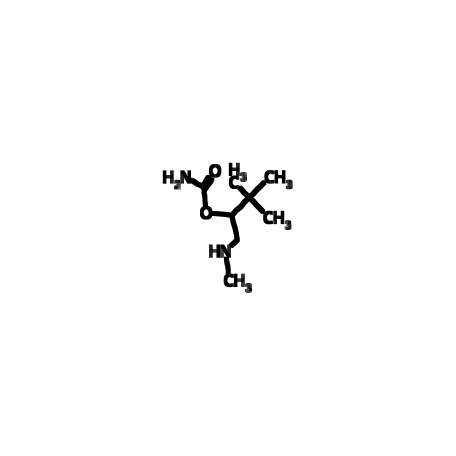 CNCC(OC(N)=O)C(C)(C)C